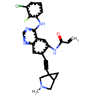 C=CC(=O)Nc1cc2c(Nc3cccc(Cl)c3F)ncnc2cc1C#CC12CC1CN(C)C2